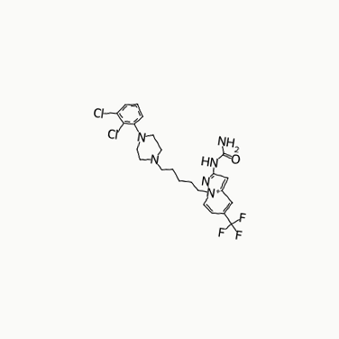 NC(=O)NC1=N[N+]2(CCCCCN3CCN(c4cccc(Cl)c4Cl)CC3)C=CC(C(F)(F)F)=CC2=C1